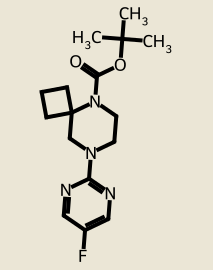 CC(C)(C)OC(=O)N1CCN(c2ncc(F)cn2)CC12CCC2